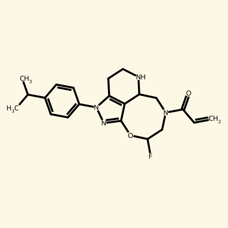 C=CC(=O)N1CC(F)Oc2nn(-c3ccc(C(C)C)cc3)c3c2C(C1)NCC3